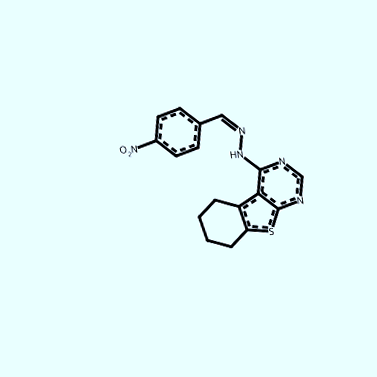 O=[N+]([O-])c1ccc(/C=N\Nc2ncnc3sc4c(c23)CCCC4)cc1